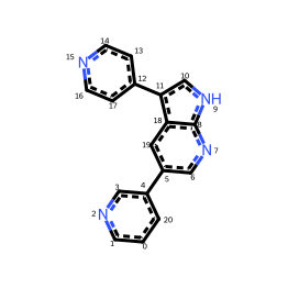 c1cncc(-c2cnc3[nH]cc(-c4ccncc4)c3c2)c1